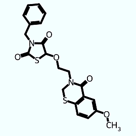 COc1ccc2c(c1)C(=O)N(CCOC1SC(=O)N(Cc3ccccc3)C1=O)CS2